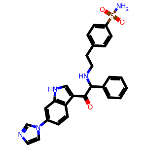 NS(=O)(=O)c1ccc(CCNC(C(=O)c2c[nH]c3cc(-n4ccnc4)ccc23)c2ccccc2)cc1